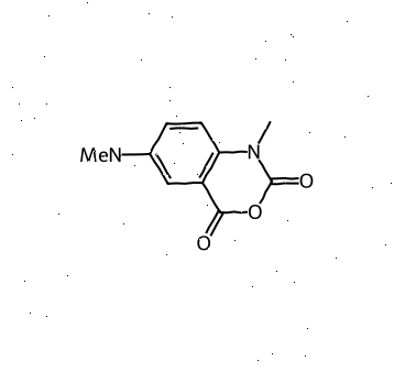 CNc1ccc2c(c1)c(=O)oc(=O)n2C